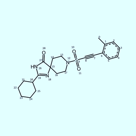 Cc1ccccc1C#CS(=O)(=O)N1CCC2(CC1)N=C(C1CCCCC1)NC2=O